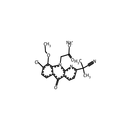 CCOc1c(Cl)ccc2c(=O)c3ccc(C(C)(C)C#N)nc3n(CC(=O)[O-])c12.[Na+]